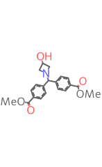 COC(=O)c1ccc(C(c2ccc(C(=O)OC)cc2)N2CC(O)C2)cc1